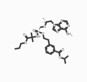 CCCOC(=O)C(C)(C)N[P@](=O)(CO[C@H](C)Cn1cnc2c(N)ncnc21)OCCc1cccc(C(=O)OC(C)C)c1